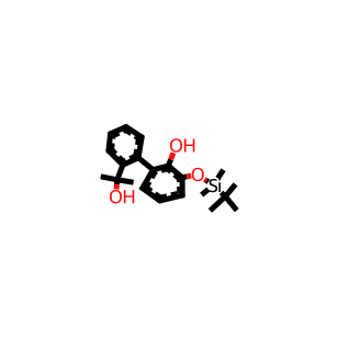 CC(C)(O)c1ccccc1-c1cccc(O[Si](C)(C)C(C)(C)C)c1O